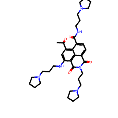 CC(=O)c1cc(NCCCN2CCCC2)c2c3c(ccc(C(=O)NCCCN4CCCC4)c13)C(=O)N(CCCN1CCCC1)C2=O